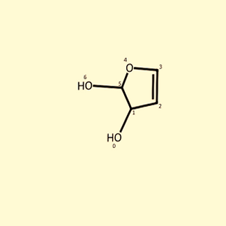 OC1C=COC1O